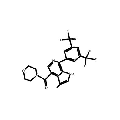 Cc1c[nH]c2c(-c3cc(C(F)(F)F)cc(C(F)(F)F)c3)ncc(C(=O)N3CCOCC3)c12